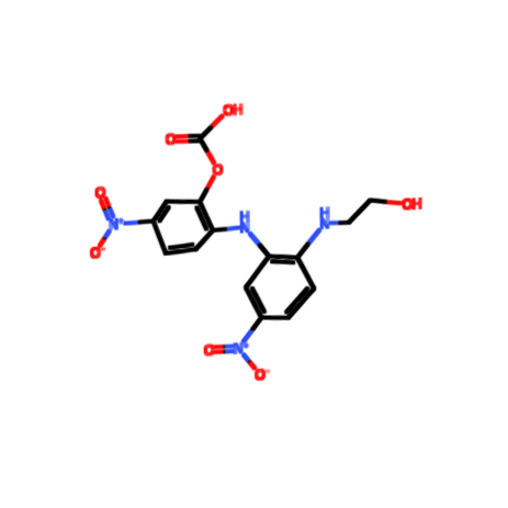 O=C(O)Oc1cc([N+](=O)[O-])ccc1Nc1cc([N+](=O)[O-])ccc1NCCO